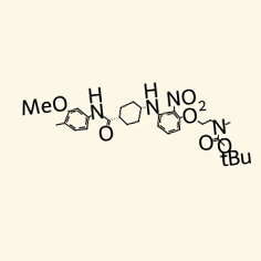 COc1cc(NC(=O)[C@H]2CC[C@@H](Nc3cccc(OCCN(C)C(=O)OC(C)(C)C)c3[N+](=O)[O-])CC2)ccc1C